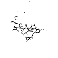 Cc1ccc(OCC2CC2)c(-c2ncnc3c(C(=O)N[C@@H]4CN(C(=O)CO)CC45CC5)c(C)[nH]c23)c1